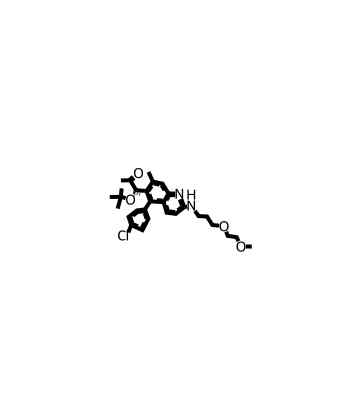 COCCOCCCNc1ccc2c(-c3ccc(Cl)cc3)c([C@H](OC(C)(C)C)C(C)=O)c(C)cc2n1